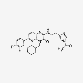 CC(=O)n1cnc(CCNc2nc3ccc(-c4ccc(F)c(F)c4)nc3n(CC3CCCCC3)c2=O)c1